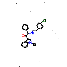 CCn1cc(C(=O)C(NCCc2ccc(Cl)cc2)c2ccccc2)c2ccccc21